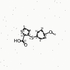 COc1ccc(Sc2ccsc2C(=O)O)cc1